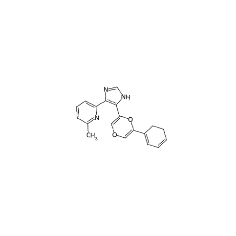 Cc1cccc(-c2nc[nH]c2C2=COC=C(C3=CC=CCC3)O2)n1